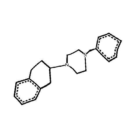 c1ccc(N2CCN(C3CCc4ccccc4C3)CC2)cc1